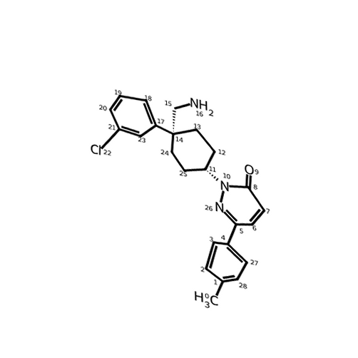 Cc1ccc(-c2ccc(=O)n([C@H]3CC[C@](CN)(c4cccc(Cl)c4)CC3)n2)cc1